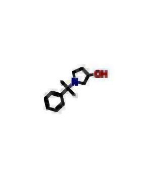 CC(C)(c1ccccc1)N1CCC(O)C1